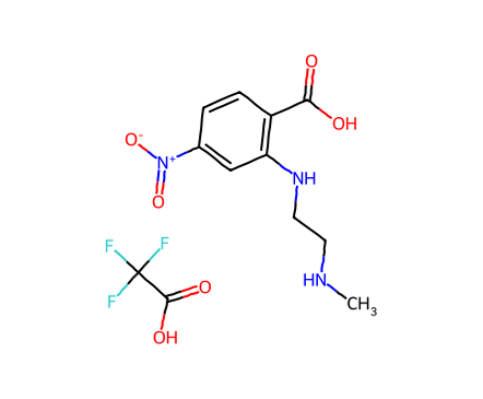 CNCCNc1cc([N+](=O)[O-])ccc1C(=O)O.O=C(O)C(F)(F)F